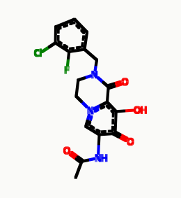 CC(=O)Nc1cn2c(c(O)c1=O)C(=O)N(Cc1cccc(Cl)c1F)CC2